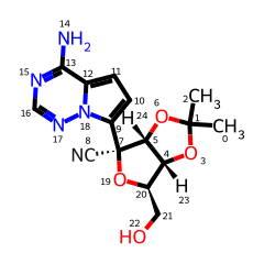 CC1(C)O[C@H]2[C@@H](O1)[C@](C#N)(c1ccc3c(N)ncnn13)O[C@@H]2CO